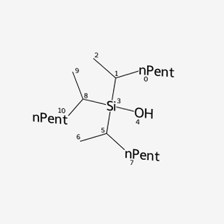 CCCCCC(C)[Si](O)(C(C)CCCCC)C(C)CCCCC